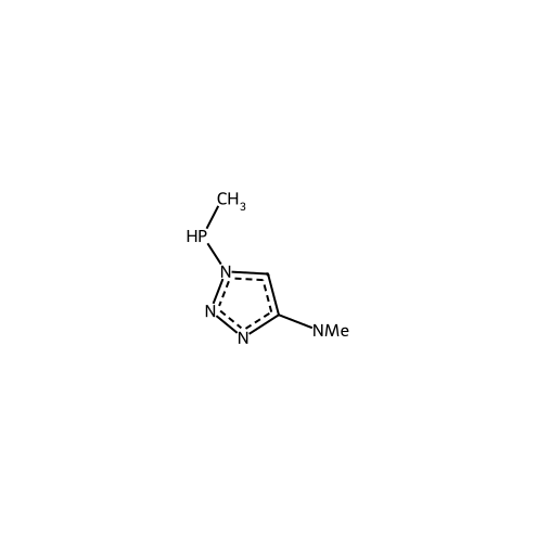 CNc1cn(PC)nn1